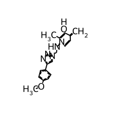 C=C1C=CN(NCn2cc(-c3ccc(OC)cc3)nn2)C(C)=C1O